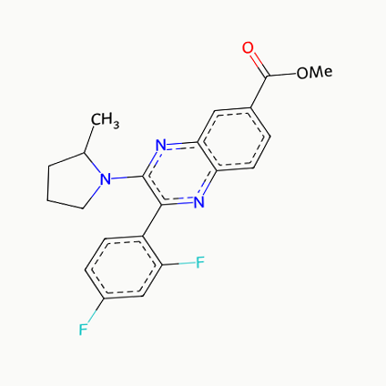 COC(=O)c1ccc2nc(-c3ccc(F)cc3F)c(N3CCCC3C)nc2c1